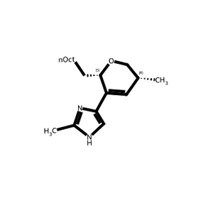 CCCCCCCCC[C@@H]1OC[C@H](C)C=C1c1c[nH]c(C)n1